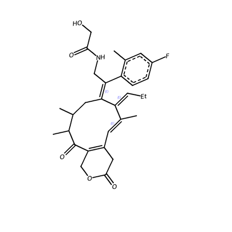 CC/C=C1C(\C)=C\C2=C(COC(=O)C2)C(=O)C(C)C(C)CC\1=C(/CNC(=O)CO)c1ccc(F)cc1C